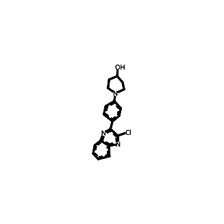 OC1CCN(c2ccc(-c3nc4ccccc4nc3Cl)cc2)CC1